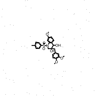 COc1ccc2c(c1)N(S(=O)(=O)c1ccc(C)cc1)CC(O)(Cc1ccc(OC)c(OC)c1)C2O